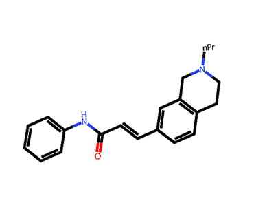 CCCN1CCc2ccc(C=CC(=O)Nc3ccccc3)cc2C1